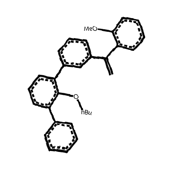 C=C(c1cccc(-c2cccc(-c3ccccc3)c2OCCCC)c1)c1ccccc1OC